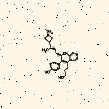 BN1CC(/C(C)=C/C=C(C)/C(=C(/CCCO)c2ccccc2)c2ccc(O)cc2)C1